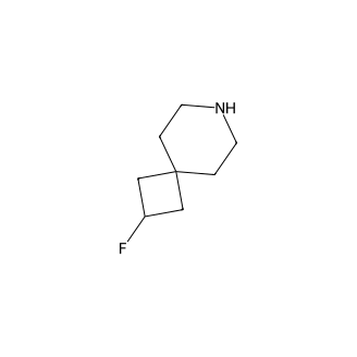 FC1CC2(CCNCC2)C1